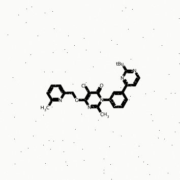 Cc1cccc(COc2nc(C)n(-c3cccc(-c4ccnc(C(C)(C)C)n4)c3)c(=O)c2Cl)n1